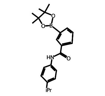 CC(C)c1ccc(NC(=O)c2cccc(B3OC(C)(C)C(C)(C)O3)c2)cc1